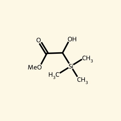 COC(=O)C(O)[Si](C)(C)C